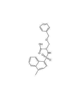 Cc1ccc(S(=O)(=O)NC(COCc2ccccc2)C(=O)O)c2ccccc12